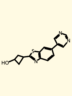 OC1CC(c2nc3ccc(-c4cncnc4)cc3s2)C1